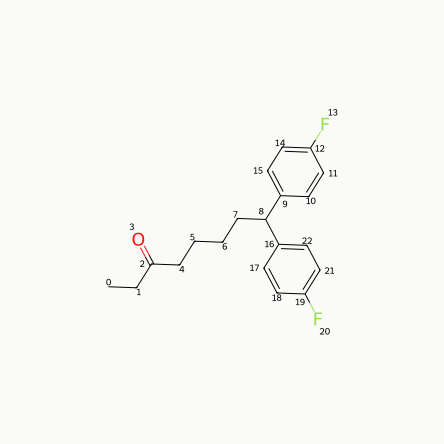 CCC(=O)CCCCC(c1ccc(F)cc1)c1ccc(F)cc1